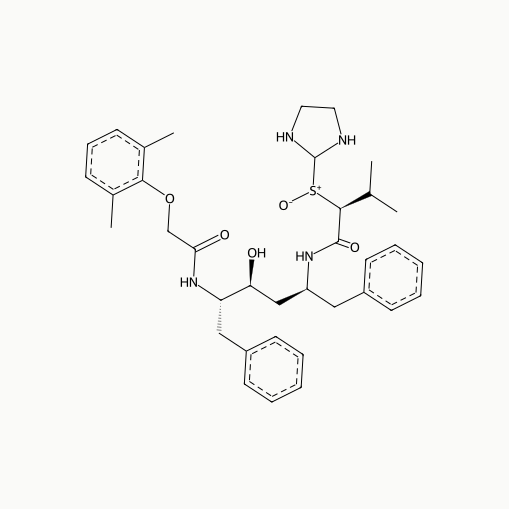 Cc1cccc(C)c1OCC(=O)N[C@@H](Cc1ccccc1)[C@@H](O)C[C@H](Cc1ccccc1)NC(=O)[C@H](C(C)C)[S+]([O-])C1NCCN1